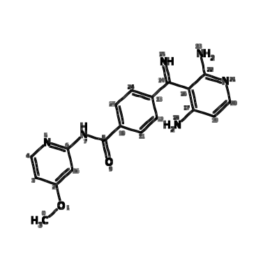 COc1ccnc(NC(=O)c2ccc(C(=N)c3c(N)ccnc3N)cc2)c1